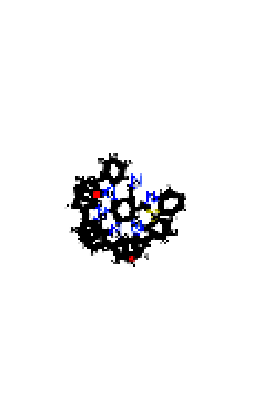 N#Cc1c(-c2nc3ccccc3s2)c(-n2c3ccccc3c3ccccc32)c(-n2c3ccccc3c3ccccc32)c(-n2c3ccccc3c3ccccc32)c1-n1c2ccccc2c2ccccc21